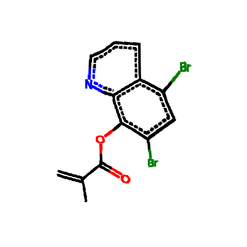 C=C(C)C(=O)Oc1c(Br)cc(Br)c2cccnc12